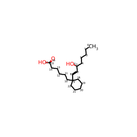 CCCCCC(O)C=CC1(CCCCCC(=O)O)CCCCC1